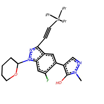 CC(C)[Si](C#Cc1nn(C2CCCCO2)c2cc(F)c(-c3cnn(C)c3O)cc12)(C(C)C)C(C)C